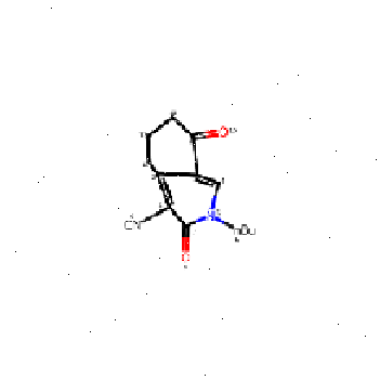 [C-]#[N+]c1c2c(cn(CCCC)c1=O)C(=O)CCC2